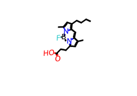 CCCCc1cc(C)n(B(C)F)c1/C=C1\N=C(CCC(=O)O)C=C1C